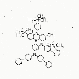 Cc1cc2c3c(c1)N(c1ccc(C(C)(C)C)cc1)c1cc(C(C)(C)C)ccc1B3c1ccc(N(c3ccc(-c4ccccc4)cc3)c3ccc(-c4ccccc4)cc3)cc1N2c1ccc2c(c1)C(C)(C)c1ccccc1-2